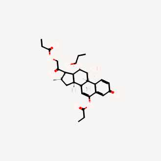 CCC(=O)OCC(=O)[C@]1(OC(=O)CC)[C@H](C)C[C@H]2[C@@H]3C=C(OC(=O)CC)C4=CC(=O)C=C[C@]4(C)[C@@]3(F)[C@@H](O)C[C@@]21C